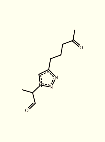 CC(=O)CCCc1cn(C(C)C=O)nn1